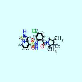 CCC1C(C)CN(C(=O)c2ccc(Cl)cc2NS(=O)(=O)C2=CC=CN3SNC=C23)C1C